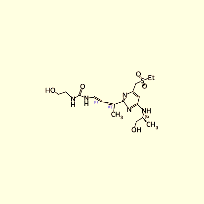 CCS(=O)(=O)Cc1cc(N[C@@H](C)CO)nc(/C(C)=C/C=C/NC(=O)NCCO)n1